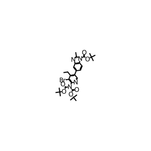 CCc1c(-c2ccc3c(c2)nc(C)n3C(=O)OC(C)(C)C)cnc(N(C(=O)OC(C)(C)C)C(=O)OC(C)(C)C)c1Br